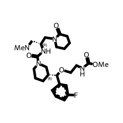 CNC[C@H](CN1CCCCC1=O)NC(=O)N1CCC[C@@H](C(OCCNC(=O)OC)c2cccc(F)c2)C1